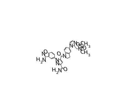 CN(Cc1nccn1-c1ccc2c(c1)CCN2C(=O)c1cc(C(N)=O)nn1-c1ccc2onc(N)c2c1)S(C)(=O)=O